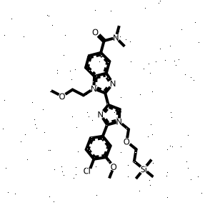 COCCn1c(-c2cn(COCC[Si](C)(C)C)c(-c3ccc(Cl)c(OC)c3)n2)nc2cc(C(=O)N(C)C)ccc21